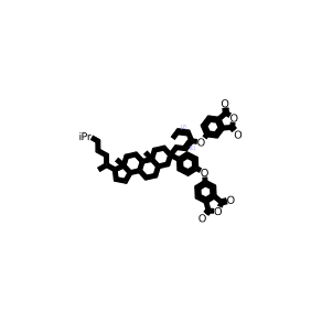 C/C=C\C(=C/CC1(c2ccc(Oc3ccc4c(c3)C(=O)OC4=O)cc2)CCC2(C)C(CCC3C2CCC2(C)C(C(C)CCCC(C)C)CCC32)C1)Oc1ccc2c(c1)C(=O)OC2=O